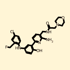 Nc1nc(-c2cc(Nc3ccc(Cl)cc3CF)ccc2O)ccc1CNC(=O)CN1CCOCC1